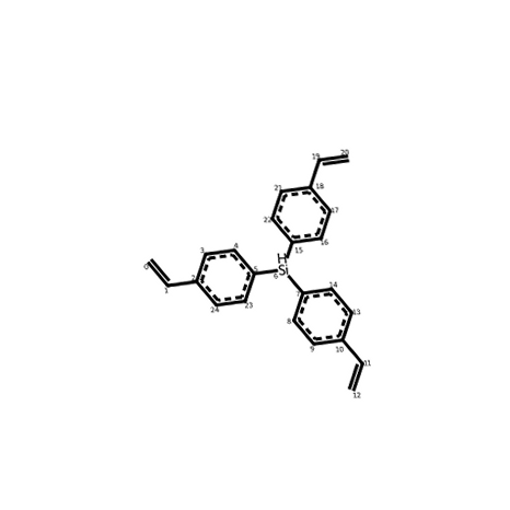 C=Cc1ccc([SiH](c2ccc(C=C)cc2)c2ccc(C=C)cc2)cc1